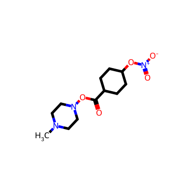 CN1CCN(OC(=O)C2CCC(O[N+](=O)[O-])CC2)CC1